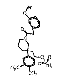 CC(C)Oc1cccc(CC(=O)N2CCC[C@](CCOS(C)(=O)=O)(c3ccc(C(Cl)(Cl)Cl)c(C(Cl)(Cl)Cl)c3)C2)c1